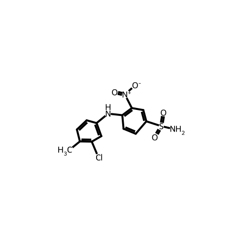 Cc1ccc(Nc2ccc(S(N)(=O)=O)cc2[N+](=O)[O-])cc1Cl